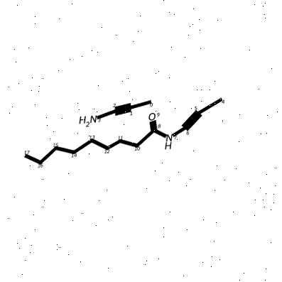 CC#CN.CC#CNC(=O)CCCCCCCC